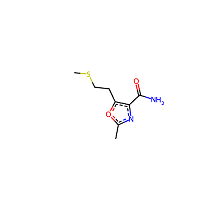 CSCCc1oc(C)nc1C(N)=O